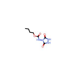 CCCCOC(=O)Nn1c(=O)[nH][nH]c1=O